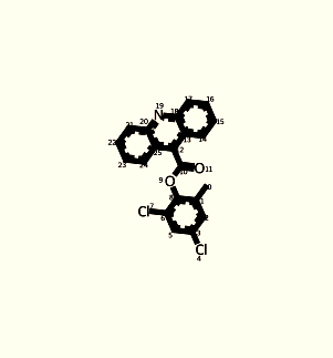 Cc1cc(Cl)cc(Cl)c1OC(=O)c1c2ccccc2nc2ccccc12